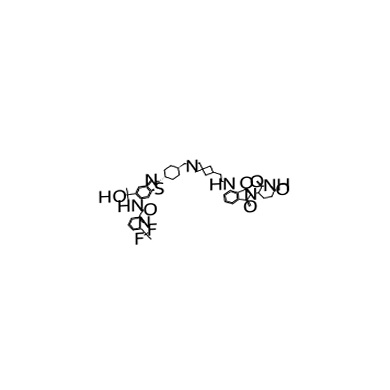 CC(C)(O)c1cc2nc([C@H]3CC[C@H](CN4CC5(CC(CCNc6cccc7c6C(=O)N(C6CCC(=O)NC6=O)C7=O)C5)C4)CC3)sc2cc1NC(=O)c1cccc(C(C)(F)F)n1